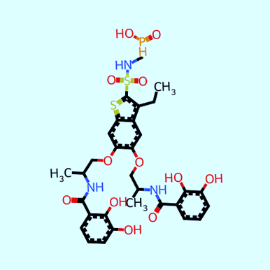 CCc1c(S(=O)(=O)NC[PH](=O)O)sc2cc(OCC(C)NC(=O)c3cccc(O)c3O)c(OCC(C)NC(=O)c3cccc(O)c3O)cc12